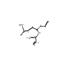 C=CCC(CCC(C)O)OC(=O)C=C